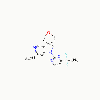 CC(=O)Nc1cc2c(cn1)C1(CCOCC1)CN2c1nccc(C(C)(F)F)n1